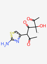 [CH2]C(O)(C(C)=O)C(=O)C(C(C)=O)c1csc(N)n1